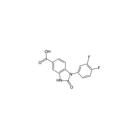 O=C(O)c1ccc2c(c1)[nH]c(=O)n2-c1ccc(F)c(F)c1